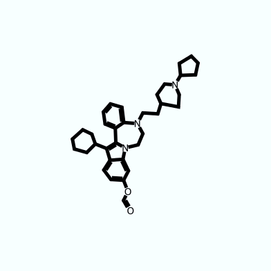 O=COc1ccc2c(C3CCCCC3)c3n(c2c1)CCN(CCC1CCN(C2CCCC2)CC1)c1ccccc1-3